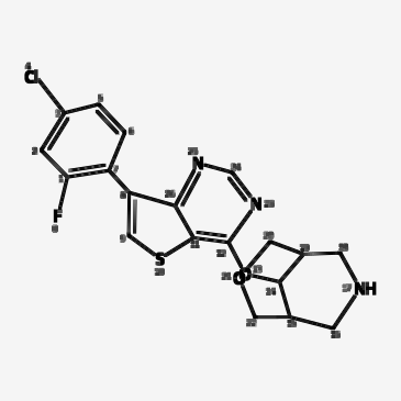 Fc1cc(Cl)ccc1-c1csc2c(OC3C4CNCC3COC4)ncnc12